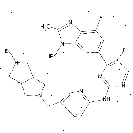 CCN1CC2CN(Cc3ccc(Nc4ncc(F)c(-c5cc(F)c6nc(C)n(C(C)C)c6c5)n4)nc3)CC2C1